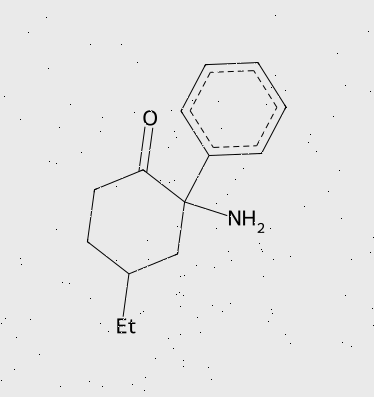 CCC1CCC(=O)C(N)(c2ccccc2)C1